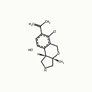 C=C(C)c1ccc2c(c1Cl)CO[C@]1(C)CNC[C@H]21.Cl